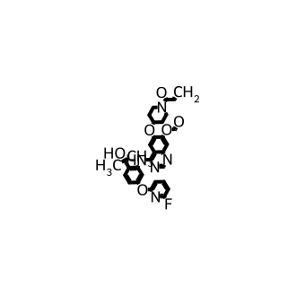 C=CC(=O)N1CCC(Oc2cc3c(Nc4cc(Oc5cccc(F)n5)ccc4C(C)(C)O)ncnc3cc2OC=O)CC1